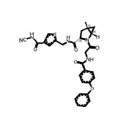 C[C@@]12C[C@@H]1N(C(=O)CNC(=O)c1ccc(Oc3ccccc3)cc1)[C@H](C(=O)NCc1cc(C(=O)NC#N)cs1)C2